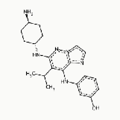 CC(C)c1c(N[C@H]2CC[C@H](N)CC2)nn2ccnc2c1Nc1cccc(O)c1